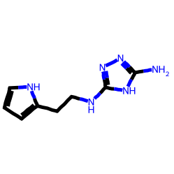 Nc1nnc(NCCc2ccc[nH]2)[nH]1